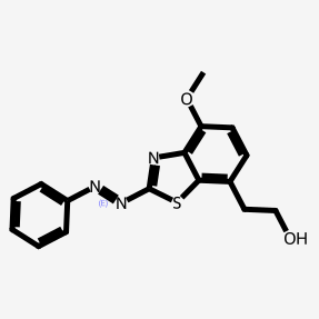 COc1ccc(CCO)c2sc(/N=N/c3ccccc3)nc12